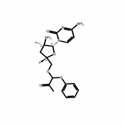 CC(=O)C(OC[C@]1(F)C[C@@](C)(N)[C@H](n2ccc(N)nc2=O)O1)Oc1ccccc1